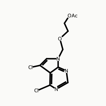 CC(=O)OCCOCn1cc(Cl)c2c(Cl)ncnc21